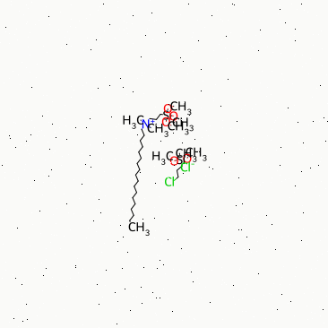 CCCCCCCCCCCCCCCCCC[N+](C)(C)CCC[Si](OC)(OC)OC.CO[Si](C)(CCCCl)OC.[Cl-]